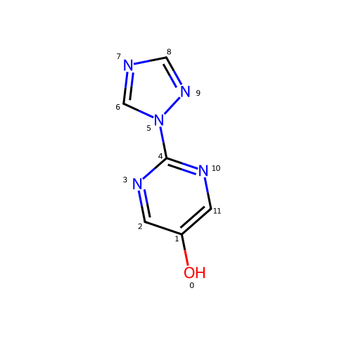 Oc1cnc(-n2cncn2)nc1